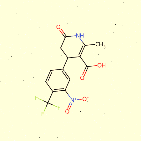 CC1=C(C(=O)O)C(c2ccc(C(F)(F)F)c([N+](=O)[O-])c2)CC(=O)N1